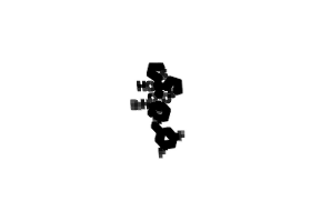 O=C(O[C@H]1C[N+]2(Cc3cc(F)cc(F)c3)CCC1CC2)C(O)(c1cccs1)c1cccs1.[Br-]